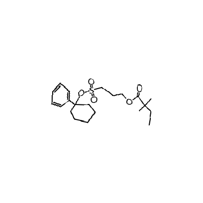 CCC(C)(C)C(=O)OCCCS(=O)(=O)OC1(c2ccccc2)CCCCC1